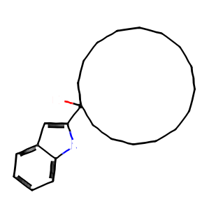 OC1(c2cc3ccccc3[nH]2)CCCCCCCCCCCCCCC1